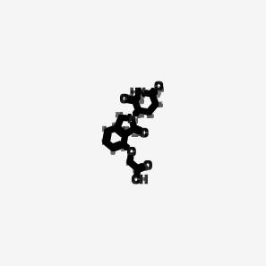 O=C(O)COc1cccc2c1C(=O)N(C1CCC(=O)NC1=O)C2